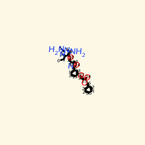 CCc1nc(N)nc(N)c1OCc1coc(-c2cccc(OCC(=O)OCc3ccccc3)c2)n1